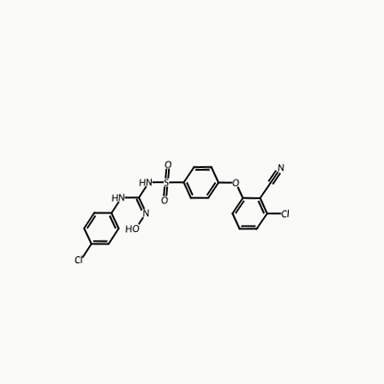 N#Cc1c(Cl)cccc1Oc1ccc(S(=O)(=O)NC(=NO)Nc2ccc(Cl)cc2)cc1